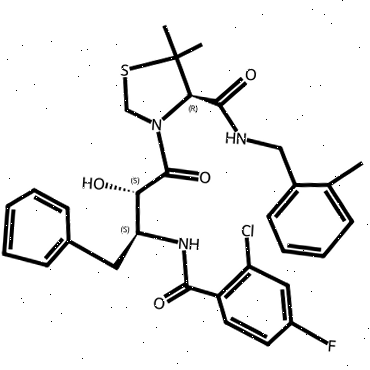 Cc1ccccc1CNC(=O)[C@H]1N(C(=O)[C@@H](O)[C@H](Cc2ccccc2)NC(=O)c2ccc(F)cc2Cl)CSC1(C)C